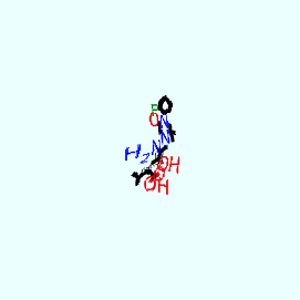 CC(C)[C@H](C[C@H](O)[C@@H](N)CN1CC(=O)N(c2ccccc2F)CC1(C)C)C(=O)O